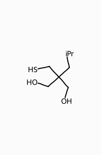 CC(C)CC(CO)(CO)CS